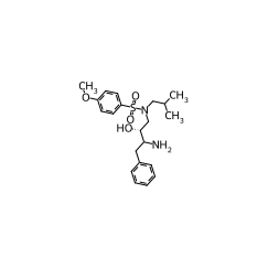 COc1ccc(S(=O)(=O)N(CC(C)C)C[C@@H](O)C(N)Cc2ccccc2)cc1